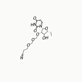 CC[C@H]1O[C@@H](n2ccc(=O)[nH]c2=O)[C@@H](OCOCOCCC#N)C1O